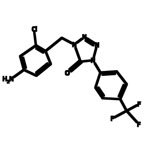 Nc1ccc(Cn2nnn(-c3ccc(C(F)(F)F)cc3)c2=O)c(Cl)c1